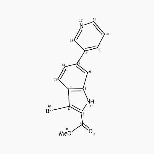 COC(=O)c1[nH]c2cc(-c3cccnc3)ccc2c1Br